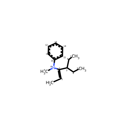 C/C=C(/C(CC)CC)N(C)c1ccccc1